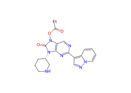 CCC(=O)On1c(=O)n([C@H]2CCCNC2)c2nc(-c3cnn4ccccc34)ncc21